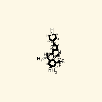 C[C@@H](Nc1ncnc2cc(C3=CCNCC3)sc12)c1cc(N)cc(C(F)(F)F)c1